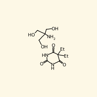 CCC1(CC)C(=O)NC(=O)NC1=O.NC(CO)(CO)CO